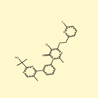 Cc1cnc(C(C)(C)O)nc1-c1cccc(-n2c(C)nc(OCc3cccc(F)n3)c(Cl)c2=O)c1